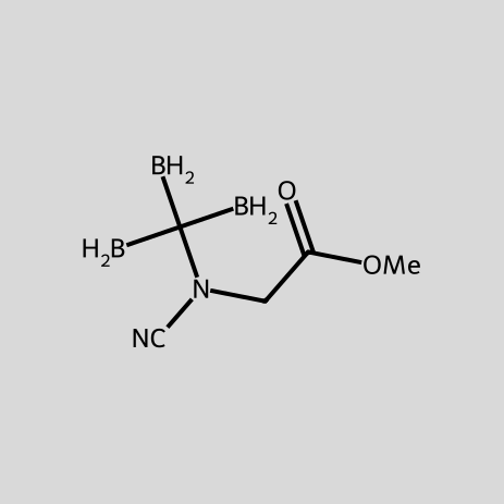 BC(B)(B)N(C#N)CC(=O)OC